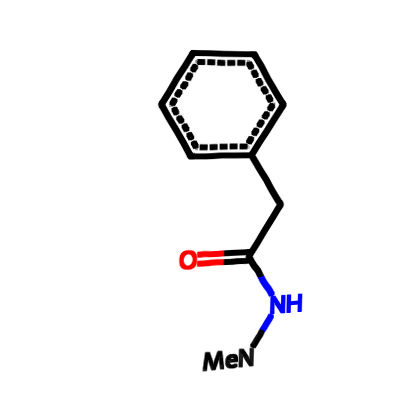 CNNC(=O)Cc1ccccc1